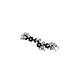 CN/C=C(\C=N)c1ccc(C2CN(C(=O)c3ccc(C)c(NC(=O)c4ccc(N(C)C(C)C)nc4)c3)C2)cc1